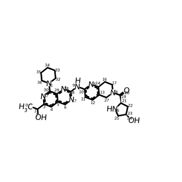 CC(O)c1cc2cnc(Nc3ccc4c(n3)CCN(C(=O)[C@H]3C[C@@H](O)CN3)C4)nc2c(N2CCCCC2)n1